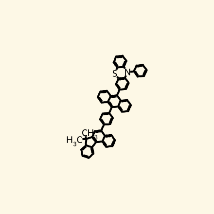 CC1(C)c2ccccc2-c2c1cc(-c1ccc(-c3c4ccccc4c(-c4ccc5c(c4)Sc4ccccc4N5c4ccccc4)c4ccccc34)cc1)c1ccccc21